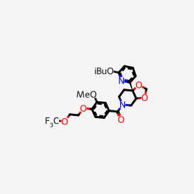 COc1cc(C(=O)N2CC[C@]3(c4cccc(OCC(C)C)n4)OCOC3C2)ccc1OCCOC(F)(F)F